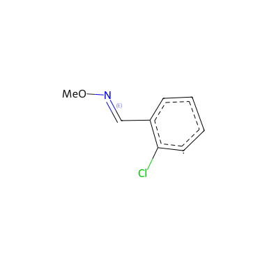 CO/N=C/c1ccc[c]c1Cl